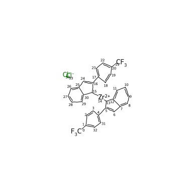 FC(F)(F)c1ccc(C2=Cc3ccccc3[CH]2[Zr+2][CH]2C(c3ccc(C(F)(F)F)cc3)=Cc3ccccc32)cc1.[Cl-].[Cl-]